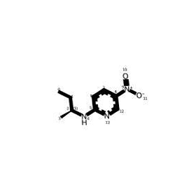 CC[C@H](C)Nc1ccc([N+](=O)[O-])cn1